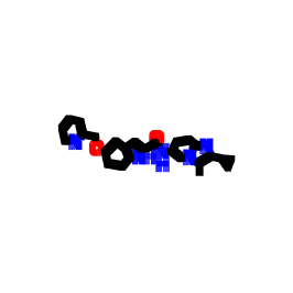 Cc1c(C2CC2)nc2ccc(NC(=O)c3cc4cc(OCc5ccccn5)ccc4[nH]3)cn12